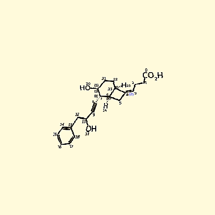 O=C(O)CC/C=C1/C[C@H]2[C@H](C#CC(O)Cc3ccccc3)[C@@H](O)CC[C@@H]12